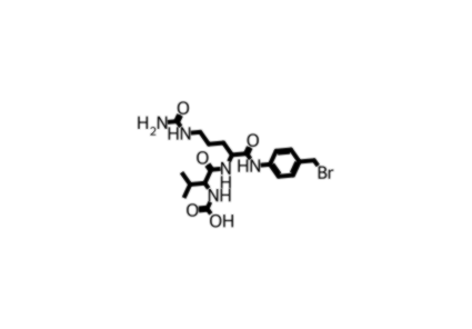 CC(C)C(NC(=O)O)C(=O)NC(CCCNC(N)=O)C(=O)Nc1ccc(CBr)cc1